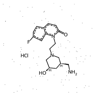 Cl.NC[C@H]1C[C@@H](O)CN(CCn2c(=O)ccc3ccc(F)cc32)C1